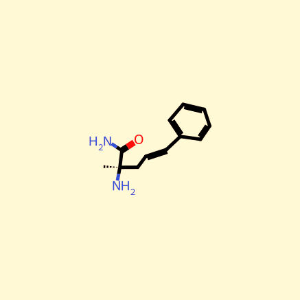 C[C@@](N)(CC=Cc1ccccc1)C(N)=O